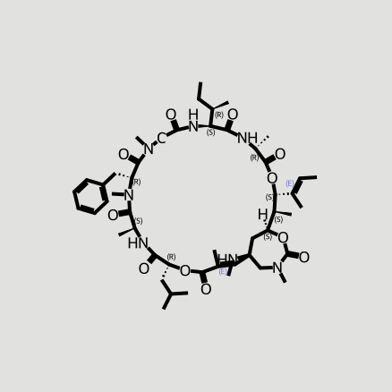 C/C=C(\C)[C@H]1OC(=O)[C@@H](C)NC(=O)[C@H]([C@H](C)CC)NC(=O)CN(C)C(=O)[C@@H](Cc2ccccc2)N(C)C(=O)[C@H](C)NC(=O)[C@@H](CC(C)C)OC(=O)/C(C)=C/C2(NC)C[C@H](OC(=O)N(C)C2)[C@@H]1C